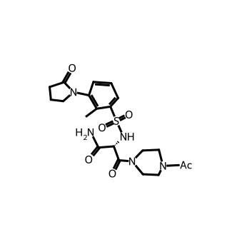 CC(=O)N1CCN(C(=O)[C@@H](NS(=O)(=O)c2cccc(N3CCCC3=O)c2C)C(N)=O)CC1